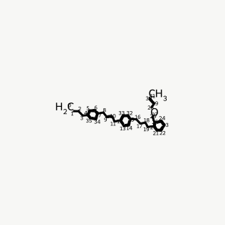 C=CCCc1ccc(CC=CCc2ccc(CCCCc3ccccc3COCC=CC)cc2)cc1